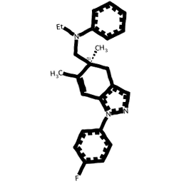 CCN(C[C@@]1(C)Cc2cnn(-c3ccc(F)cc3)c2C=C1C)c1ccccc1